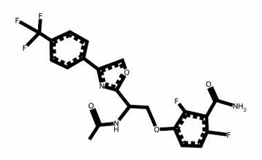 CC(=O)NC(COc1ccc(F)c(C(N)=O)c1F)c1nc(-c2ccc(C(F)(F)F)cc2)co1